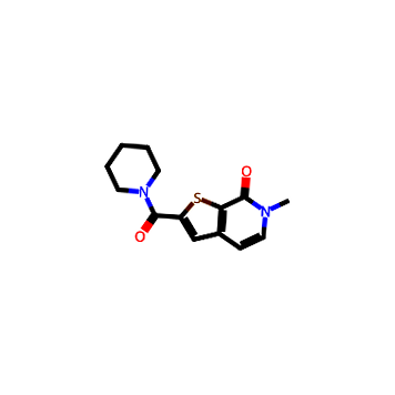 Cn1ccc2cc(C(=O)N3CCCCC3)sc2c1=O